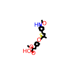 CCOC(Cc1ccc(OCc2sc(-c3ccc(NC(C)=O)cc3)cc2C)cc1)C(=O)O